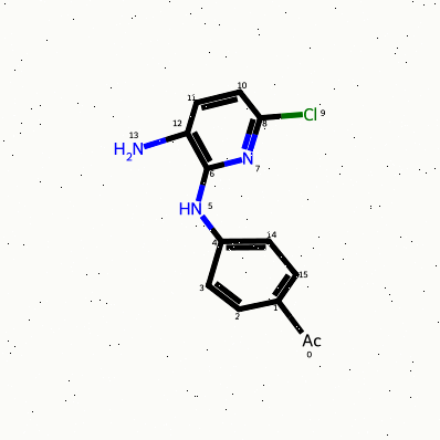 CC(=O)c1ccc(Nc2nc(Cl)ccc2N)cc1